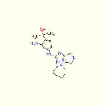 CC(C)(O)c1ccc(NC2=N[N+]3(N4CCCCCC4)C=CN=CC3=N2)cc1N